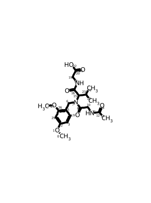 COc1ccc(CN(C(=O)CNC(C)=O)C(C(=O)NCC(=O)O)C(C)C)c(OC)c1